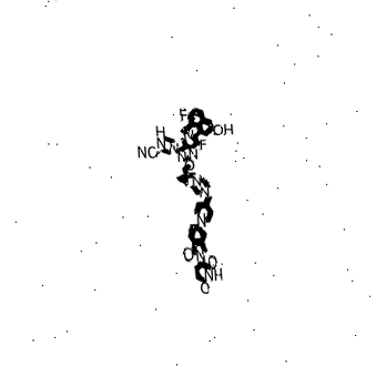 C#Cc1c(F)ccc2cc(O)cc(-c3ncc4c(N5CCN[C@@H](CC#N)C5)nc(OCC5(CN6CCN(CC7CCN(c8ccc9c(c8)CN(C8CCC(=O)NC8=O)C9=O)CC7)CC6)CC5)nc4c3F)c12